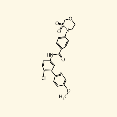 COc1ccc(-c2cc(NC(=O)c3ccc(N4CCOCS4(=O)=O)cc3)ccc2Cl)nc1